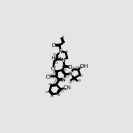 C=CC(=O)N1CCN2C(=O)c3c(N4CC(O)CC4(C)C)nc(-c4ccccc4C#N)c(Cl)c3OC[C@H]2C1